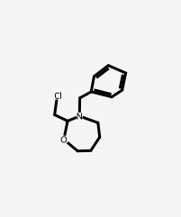 ClCC1OCCCCN1Cc1ccccc1